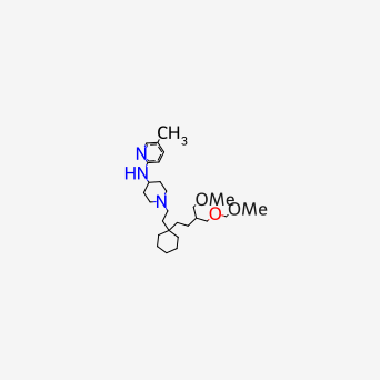 COCOCC(CCC1(CCN2CCC(Nc3ccc(C)cn3)CC2)CCCCC1)COC